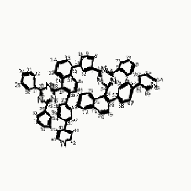 c1ccc(-c2nc(-c3cccc(-c4cccc5c(-c6nc(-c7ccccc7)nc(-c7ccccc7)n6)c(-c6ccc(-c7ccncc7)cc6)ccc45)c3)nc(-c3c(-c4ccc(-c5cccnc5)cc4)ccc4ccccc34)n2)cc1